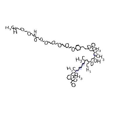 CNCCOCCOCCNC(=O)CCOCCOCCOCCOCCOCCOC1CCC(CCC(CC(=O)C(C)/C=C(\C)C(O)CC(=O)C(C)CC(C)/C=C/C=C/C=C(\C)C(CC2CCCC(C(=O)C=O)O2)OC)OC=O)CC1